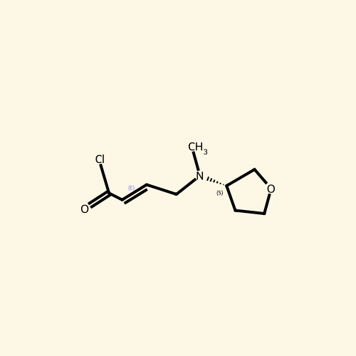 CN(C/C=C/C(=O)Cl)[C@H]1CCOC1